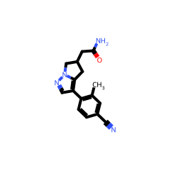 Cc1cc(C#N)ccc1-c1cnn2c1CC(CC(N)=O)C2